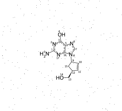 Nc1nc(O)c2ncn(C3C=C[C@@H](CO)C3)c2n1